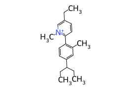 CCc1ccc(-c2ccc(C(CC)CC)cc2C)[n+](C)c1